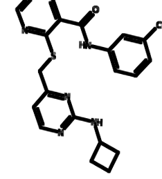 O=C(Nc1cccc(Cl)c1)c1cccnc1SCc1ccnc(NC2CCC2)n1